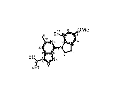 CCC(CC)n1nnc2c(N3CCc4cc(OC)cc(Br)c43)nc(C)cc21